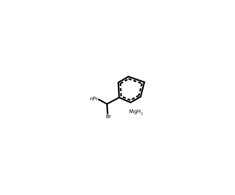 CCCC(Br)c1ccccc1.[MgH2]